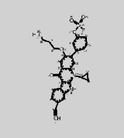 C#Cc1ccc2c(c1)[nH]c1c2c(=O)c2cc(OCCCC)c(-c3cccc(OS(=O)(=O)F)c3)cc2n1C1CC1